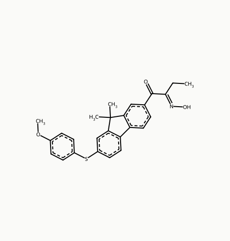 CCC(=NO)C(=O)c1ccc2c(c1)C(C)(C)c1cc(Sc3ccc(OC)cc3)ccc1-2